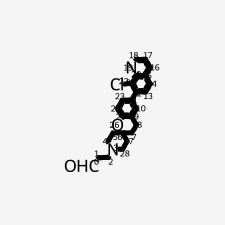 O=CCCN1CCC2(CCc3cc(-c4ccc5cccnc5c4Cl)ccc3O2)CC1